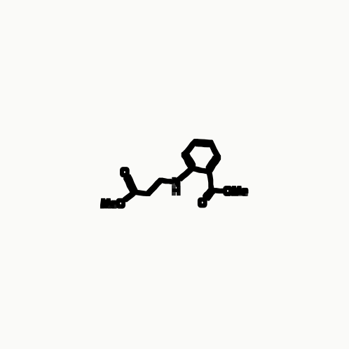 COC(=O)CCNc1ccccc1C(=O)OC